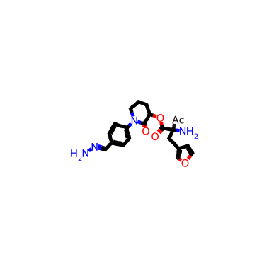 CC(=O)C(N)(Cc1ccoc1)C(=O)OC1CCCN(c2ccc(C=NN)cc2)C1=O